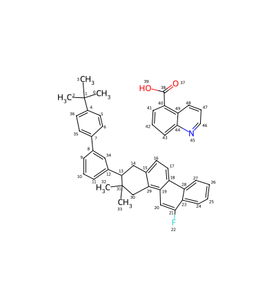 CC(C)(C)c1ccc(-c2cccc(C3Cc4ccc5c(cc(F)c6ccccc65)c4CC3(C)C)c2)cc1.O=C(O)c1cccc2ncccc12